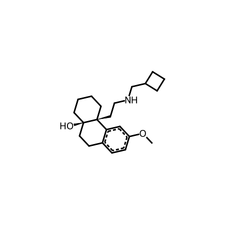 COc1ccc2c(c1)[C@@]1(CCNCC3CCC3)CCCC[C@@]1(O)CC2